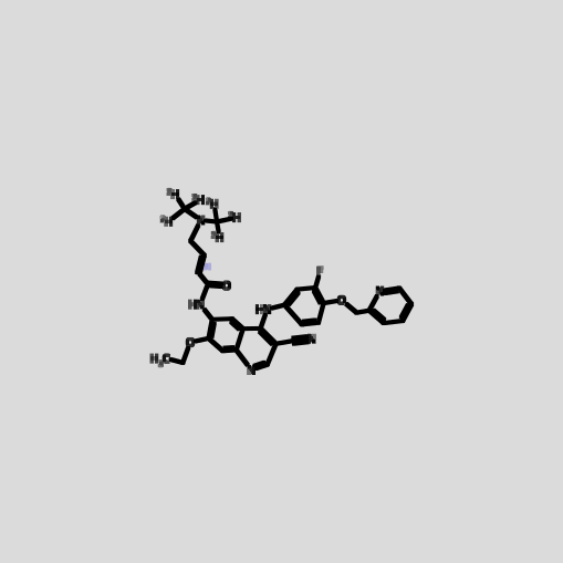 [2H]C([2H])([2H])N(C/C=C/C(=O)Nc1cc2c(Nc3ccc(OCc4ccccn4)c(F)c3)c(C#N)cnc2cc1OCC)C([2H])([2H])[2H]